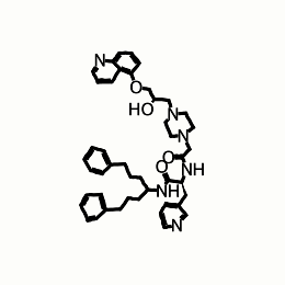 O=C(CN1CCN(C[C@@H](O)COc2cccc3ncccc23)CC1)N[C@@H](Cc1cccnc1)C(=O)NC(CCCc1ccccc1)CCCc1ccccc1